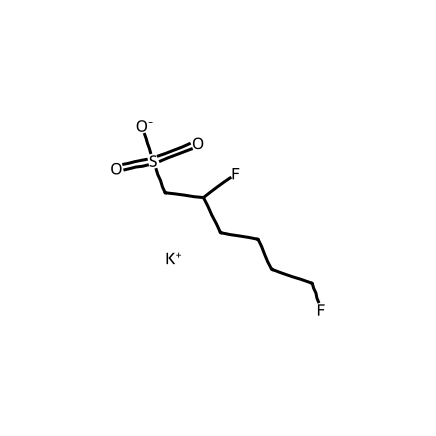 O=S(=O)([O-])CC(F)CCCCF.[K+]